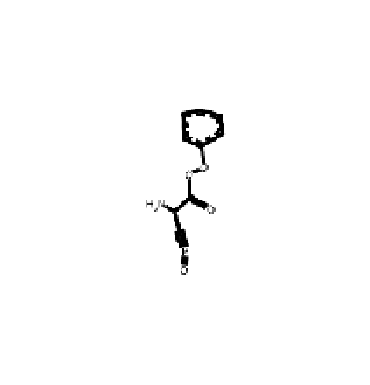 NC(C#P=O)C(=O)OOc1ccccc1